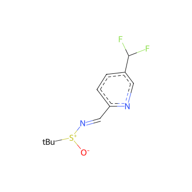 CC(C)(C)[S+]([O-])N=Cc1ccc(C(F)F)cn1